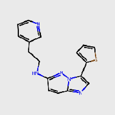 c1cncc(CCNc2ccc3ncc(-c4cccs4)n3n2)c1